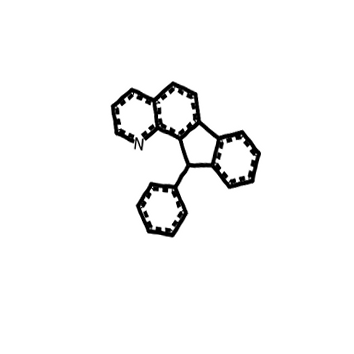 c1ccc(C2c3ccccc3-c3ccc4cccnc4c32)cc1